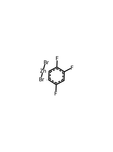 Fc1[c]cc(F)c(F)c1.[Br][Zn][Br]